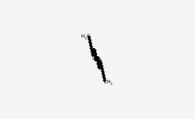 CCCCCCCCCc1ccc2cc3c(cc2c1)sc1cc2c(cc13)sc1cc3cc(CCCCCCCCC)ccc3cc12